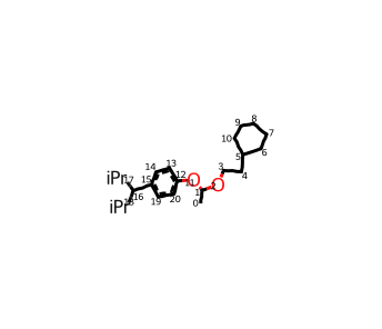 CC(OCCC1CCCCC1)Oc1ccc(C(C(C)C)C(C)C)cc1